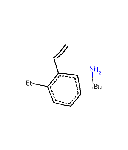 C=Cc1ccccc1CC.CCC(C)N